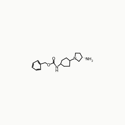 N[C@H]1CCN(C2CCC(NC(=O)OCc3ccccc3)CC2)C1